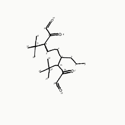 CCCC(CCC(C(=O)C=O)C(C)(C)C)C(C(=O)C=O)C(C)(C)C